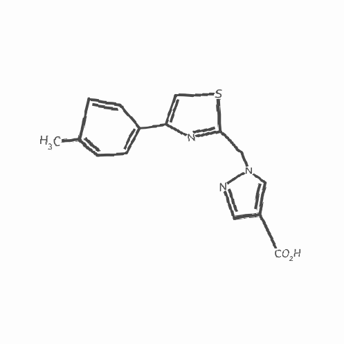 Cc1ccc(-c2csc(Cn3cc(C(=O)O)cn3)n2)cc1